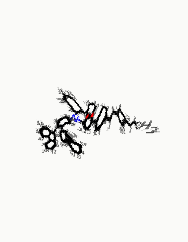 C=CCC1CC(CCc2ccc(-c3ccc(N(C4=C(C5=CC=CCC5)CCC=C4)c4ccc(-c5cc6ccccc6c6ccccc56)c(-c5ccc6ccccc6c5)c4)cc3)cc2)C1